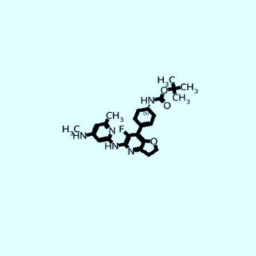 CNc1cc(C)nc(Nc2nc3c(c(C4=CC[C@@H](NC(=O)OC(C)(C)C)CC4)c2F)OCC3)c1